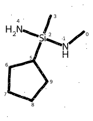 CN[Si](C)(N)C1CCCC1